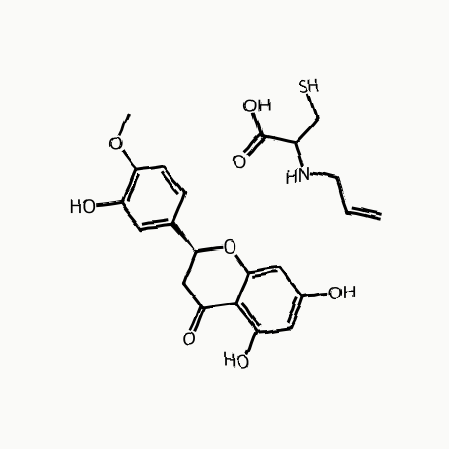 C=CCNC(CS)C(=O)O.COc1ccc([C@@H]2CC(=O)c3c(O)cc(O)cc3O2)cc1O